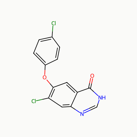 O=c1[nH]cnc2cc(Cl)c(Oc3ccc(Cl)cc3)cc12